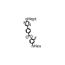 CCCCCCCc1cnc(-c2ccc(C(=O)Oc3ccc(CCCCCC)cc3F)cc2)cn1